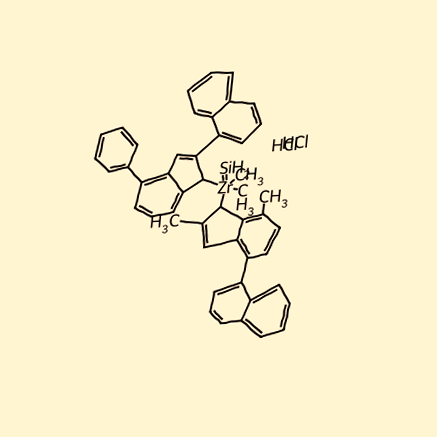 CC1=Cc2c(-c3cccc4ccccc34)ccc(C)c2[CH]1[Zr]([CH3])([CH3])(=[SiH2])[CH]1C(c2cccc3ccccc23)=Cc2c(-c3ccccc3)cccc21.Cl.Cl